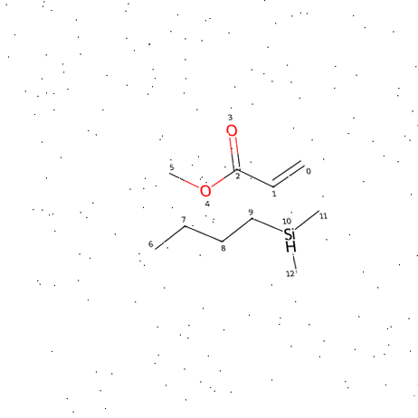 C=CC(=O)OC.CCCC[SiH](C)C